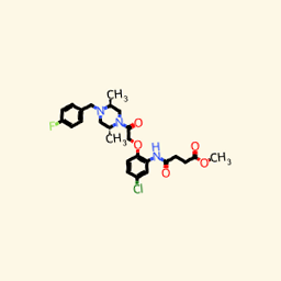 COC(=O)CCC(=O)Nc1cc(Cl)ccc1OCC(=O)N1C[C@H](C)N(Cc2ccc(F)cc2)C[C@H]1C